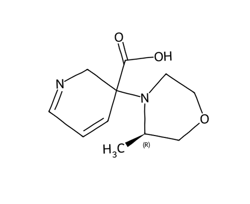 C[C@@H]1COCCN1C1(C(=O)O)C=CC=NC1